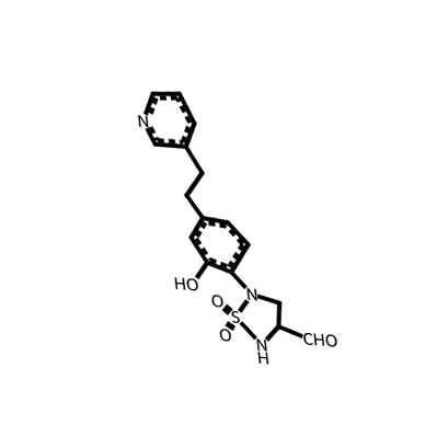 O=CC1CN(c2ccc(CCc3cccnc3)cc2O)S(=O)(=O)N1